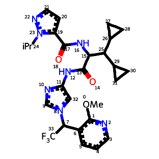 COc1ncccc1C(n1cnc(NC(=O)C(NC(=O)c2ccnn2C(C)C)C(C2CC2)C2CC2)c1)C(F)(F)F